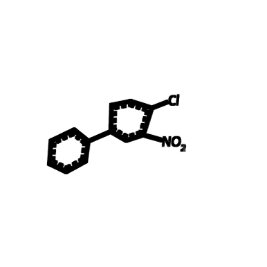 O=[N+]([O-])c1cc(-c2ccccc2)ccc1Cl